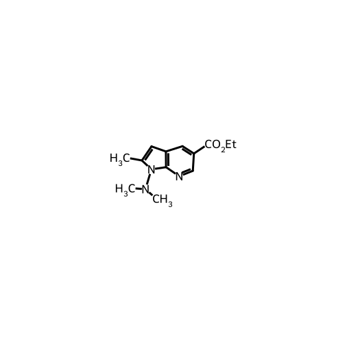 CCOC(=O)c1cnc2c(c1)cc(C)n2N(C)C